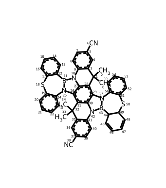 CC1(C)c2cc(C#N)ccc2N2B3c4ccccc4Sc4ccccc4N3c3c2c1c1c2c3C(C)(C)c3cc(C#N)ccc3N2B2C3C=CC=CC3Sc3ccccc3N21